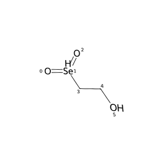 O=[SeH](=O)CCO